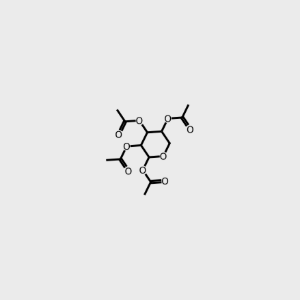 CC(=O)OC1COC(OC(C)=O)C(OC(C)=O)C1OC(C)=O